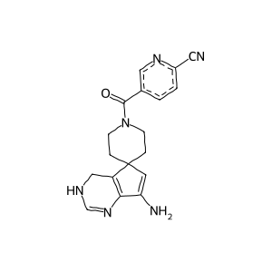 N#Cc1ccc(C(=O)N2CCC3(C=C(N)C4=C3CNC=N4)CC2)cn1